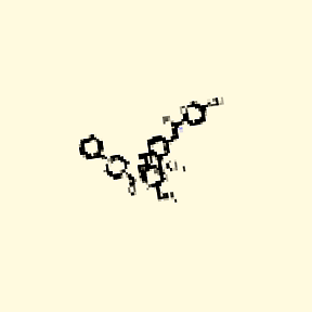 C[C@]1(c2cc(/C=C(\F)c3ccc(C#N)cn3)ccc2F)N=C(N)S[C@@]2(C(=O)N3CCN(c4ccccc4)CC3)C[C@H]21